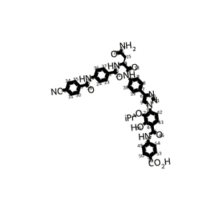 CC(C)Oc1c(-n2cc(-c3ccc(NC(=O)[C@H](CC(N)=O)NC(=O)c4ccc(NC(=O)c5ccc(C#N)cc5)cc4)cc3)nn2)ccc(C(=O)Nc2ccc(C(=O)O)cc2)c1O